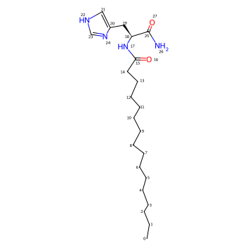 CCCCCCCCCCCCCCCC(=O)N[C@@H](Cc1c[nH]cn1)C(N)=O